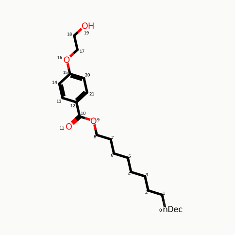 CCCCCCCCCCCCCCCCCCOC(=O)c1ccc(OCCO)cc1